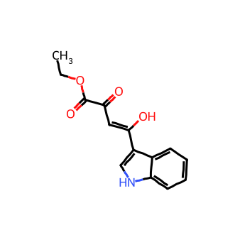 CCOC(=O)C(=O)/C=C(\O)c1c[nH]c2ccccc12